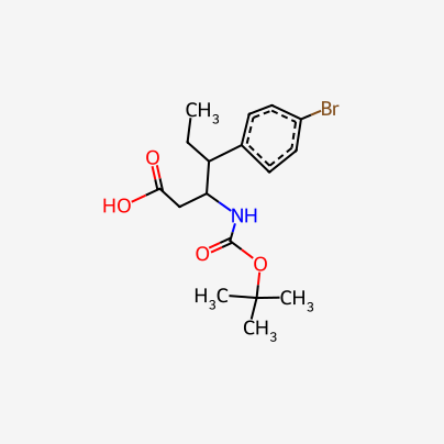 CCC(c1ccc(Br)cc1)C(CC(=O)O)NC(=O)OC(C)(C)C